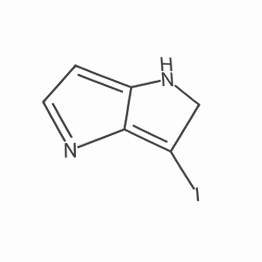 IC1=C2N=CC=C2NC1